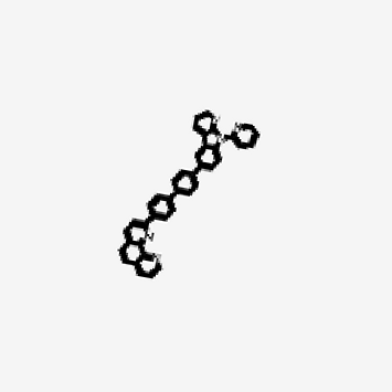 c1ccc(-n2c3ccc(-c4ccc(-c5ccc(-c6ccc7ccc8cccnc8c7n6)cc5)cc4)cc3c3cccnc32)nc1